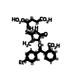 CCc1ccc(C(=O)c2ccccc2C(=O)O)cc1.CN1CC(=O)NC1=S.NC(CCC(=O)O)C(=O)O